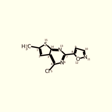 Cc1cc2c(Cl)nc(-c3ccno3)nc2s1